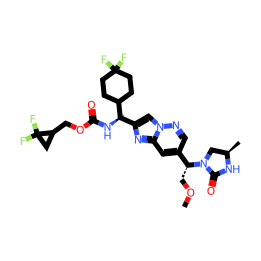 COC[C@H](c1cnn2cc([C@@H](NC(=O)OCC3CC3(F)F)C3CCC(F)(F)CC3)nc2c1)N1C[C@@H](C)NC1=O